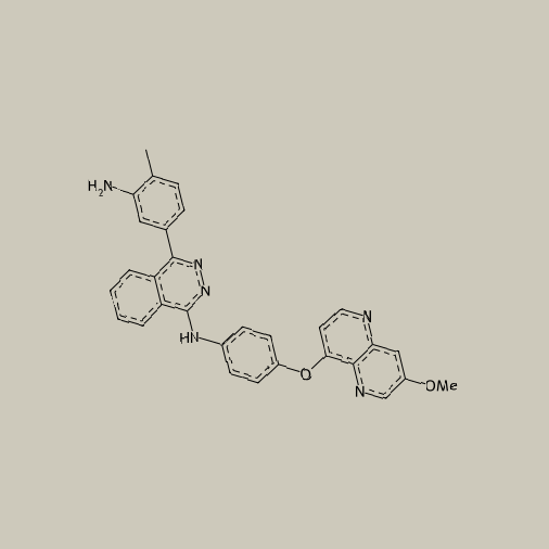 COc1cnc2c(Oc3ccc(Nc4nnc(-c5ccc(C)c(N)c5)c5ccccc45)cc3)ccnc2c1